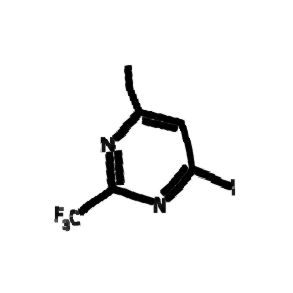 Cc1cc(I)nc(C(F)(F)F)n1